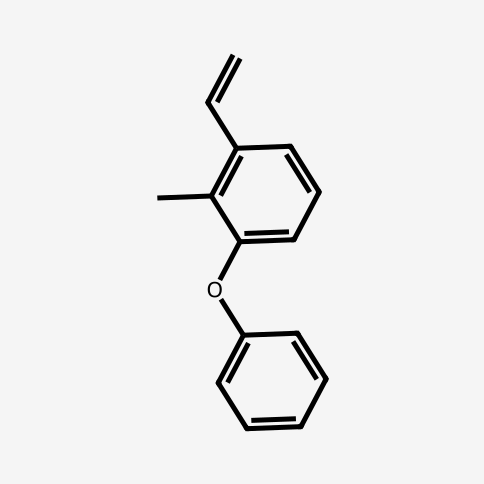 C=Cc1cccc(Oc2ccccc2)c1C